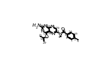 Cc1ccc(C(=O)N(C)c2cnc3nc(N)nc(OC(C)C)c3n2)cc1